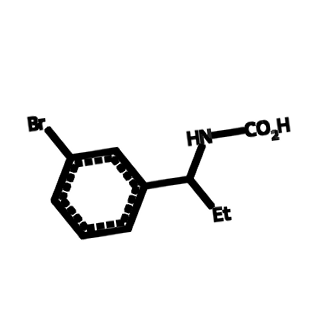 CCC(NC(=O)O)c1cccc(Br)c1